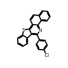 Clc1ccc(-c2nc3c4ccccc4ccc3c3sc4ccccc4c23)cc1